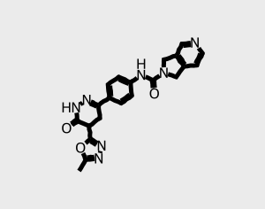 Cc1nnc(C2CC(c3ccc(NC(=O)N4Cc5ccncc5C4)cc3)=NNC2=O)o1